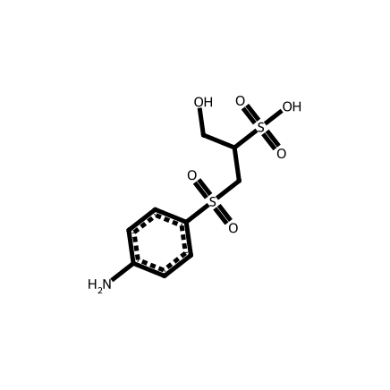 Nc1ccc(S(=O)(=O)CC(CO)S(=O)(=O)O)cc1